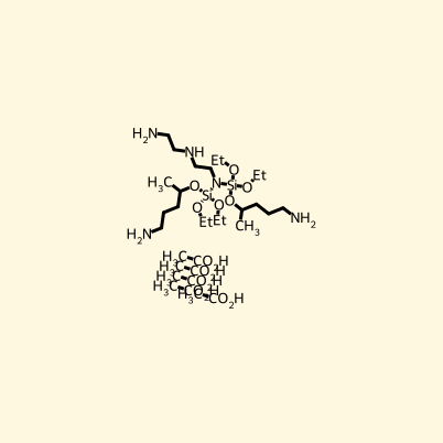 CC(=O)O.CC(=O)O.CC(=O)O.CC(=O)O.CC(=O)O.CCO[Si](OCC)(OC(C)CCCN)N(CCNCCN)[Si](OCC)(OCC)OC(C)CCCN